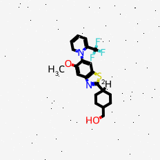 [2H]C1(c2nc3cc(OC)c(N4CC=CC=C4C(F)(F)F)cc3s2)CCC(CO)CC1